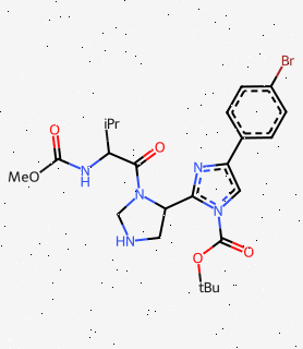 COC(=O)NC(C(=O)N1CNCC1c1nc(-c2ccc(Br)cc2)cn1C(=O)OC(C)(C)C)C(C)C